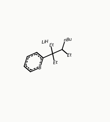 CCCCC(CC)C(CC)(CC)c1bcccc1.[LiH]